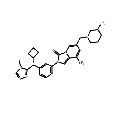 Cn1cnnc1[C@@H](c1cccc(-n2cc3c(C(F)(F)F)cc(CN4CCC[C@H](C(F)(F)F)C4)cn3c2=O)c1)C1CCC1